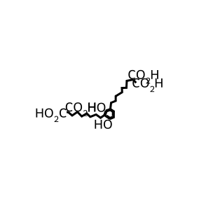 O=C(O)C(CCCCCCCc1ccc(O)c(CCCCCCCC(C(=O)O)C(=O)O)c1O)C(=O)O